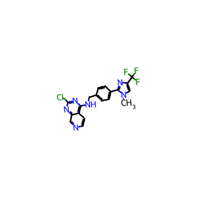 Cn1cc(C(F)(F)F)nc1-c1ccc(CNc2nc(Cl)nc3cnccc23)cc1